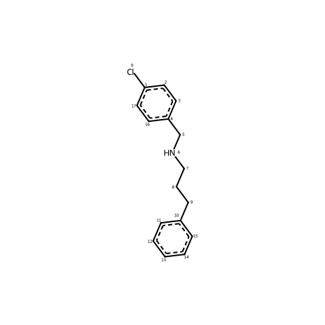 Clc1ccc(CNCCCc2ccccc2)cc1